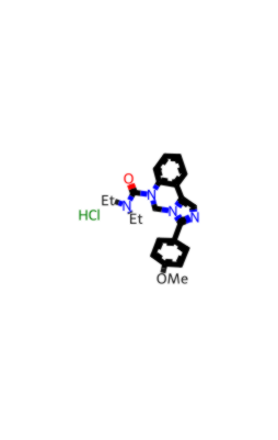 CCN(CC)C(=O)N1Cn2c(cnc2-c2ccc(OC)cc2)-c2ccccc21.Cl